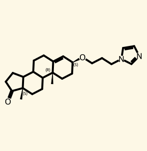 C[C@]12CC[C@H](OCCCn3ccnc3)C=C1CCC1C2CC[C@]2(C)C(=O)CCC12